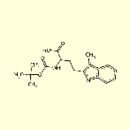 Cn1c(CCC(NC(=O)OC(C)(C)C)C(=O)O)nc2ccccc21